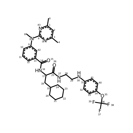 Cc1cc(C)nc(N(C)c2cccc(C(=O)NC(CC3CCCCC3)C(=O)NCCNc3ccc(OC(F)(F)F)cc3)c2)n1